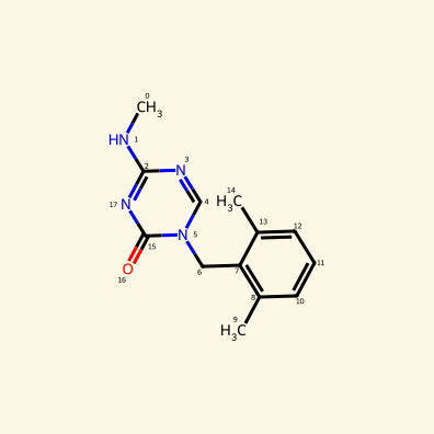 CNc1ncn(Cc2c(C)cccc2C)c(=O)n1